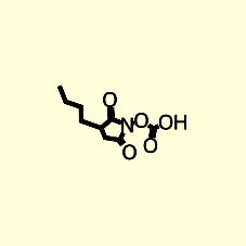 CCCCC1CC(=O)N(OC(=O)O)C1=O